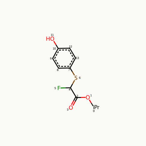 CC(C)OC(=O)C(F)Sc1ccc(O)cc1